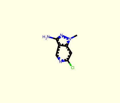 Cn1nc(N)c2cnc(Cl)cc21